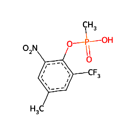 Cc1cc([N+](=O)[O-])c(OP(C)(=O)O)c(C(F)(F)F)c1